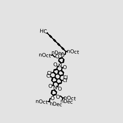 C#CC#CC#CC#CC#CC(CCCCCCCC)COc1ccc(N2C(=O)c3cc(Cl)c4c5c(Cl)cc6c7c(cc(Cl)c(c8c(Cl)cc(c3c48)C2=O)c75)C(=O)N(c2ccc(OCC(CCCCCCCC)CCCCCCCCCC)c(OCC(CCCCCCCC)CCCCCCCCCC)c2)C6=O)cc1OCC(CCCCCCCC)CCCCCCCCCC